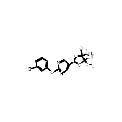 CC1(C)OB(c2cnc(Oc3cccc(Cl)c3)nc2)OC1(C)C